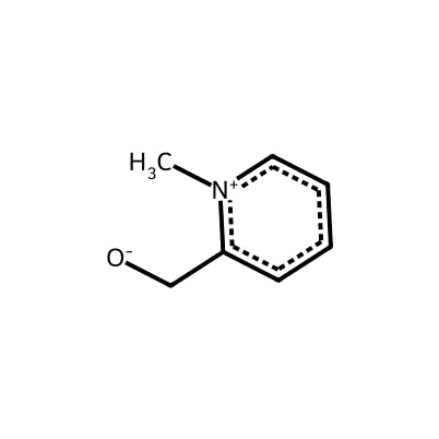 C[n+]1ccccc1C[O-]